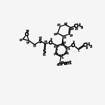 C=COc1cc(CCCCC)cc(OC(=S)SCC2CO2)c1[C@@H]1C=C(C)CCC1